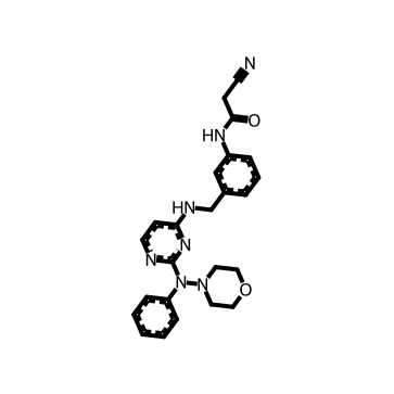 N#CCC(=O)Nc1cccc(CNc2ccnc(N(c3ccccc3)N3CCOCC3)n2)c1